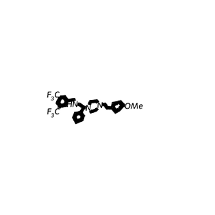 COc1ccc(CCN2CCN(C(CNCc3cc(C(F)(F)F)cc(C(F)(F)F)c3)c3ccccc3)CC2)cc1